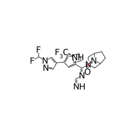 N=C/N=C(\c1cc(-c2cnn(C(F)F)c2)c[nH]1)N1CC2CCC(C1)N2C(=O)[C@H]1C[C@H](C(F)(F)F)C1